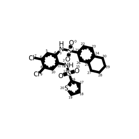 O=S(=O)(Nc1cc(Cl)c(Cl)cc1NS(=O)(=O)c1cccs1)c1ccc2c(c1)CCCC2